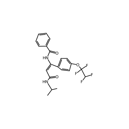 CC(C)NC(=O)C=C(NC(=O)c1ccccc1)c1ccc(OC(F)(F)C(F)F)cc1